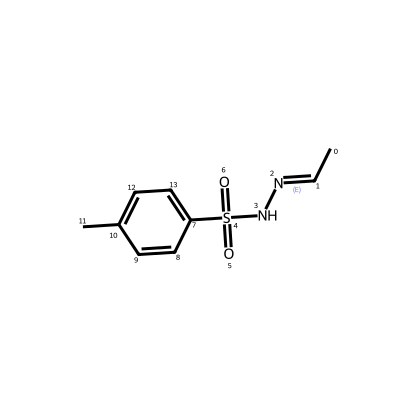 C/C=N/NS(=O)(=O)c1ccc(C)cc1